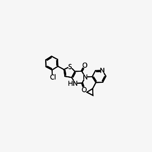 O=c1[nH]c2cc(-c3ccccc3Cl)sc2c(=O)n1-c1cnccc1C1CC1